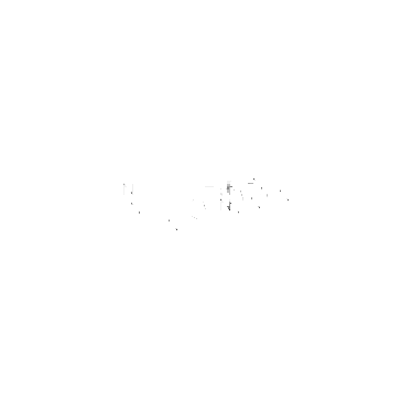 Bc1cnc(C#N)nc1N(NC(=O)c1cccc(CN2CCC(C(=O)N3CCN(C)CC3)CC2)c1)C1CCCC1